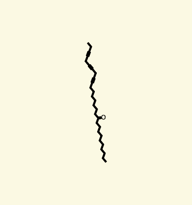 CCC#CCC#CCC#CCCCCCCCC(=O)CCCCCCCCCC